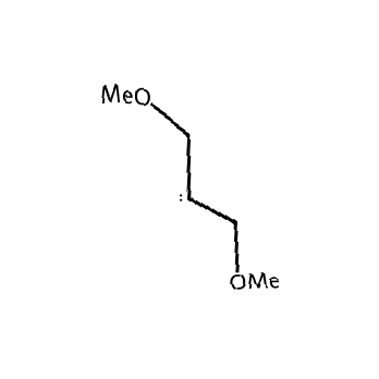 COC[C]COC